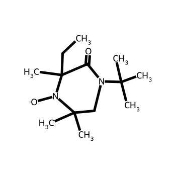 CCC1(C)C(=O)N(C(C)(C)C)CC(C)(C)N1[O]